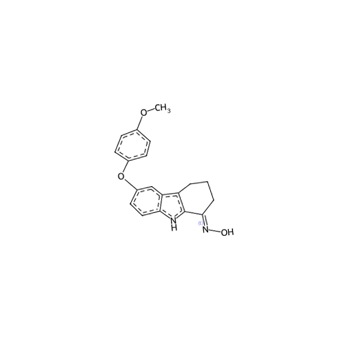 COc1ccc(Oc2ccc3[nH]c4c(c3c2)CCC/C4=N\O)cc1